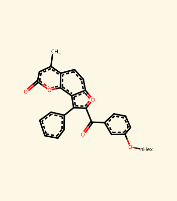 CCCCCCOc1cccc(C(=O)c2oc3ccc4c(C)cc(=O)oc4c3c2-c2ccccc2)c1